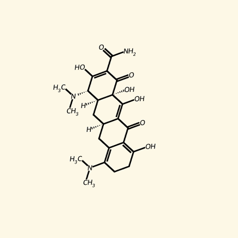 CN(C)C1=C2C[C@H]3C[C@H]4[C@H](N(C)C)C(O)=C(C(N)=O)C(=O)[C@@]4(O)C(O)=C3C(=O)C2=C(O)CC1